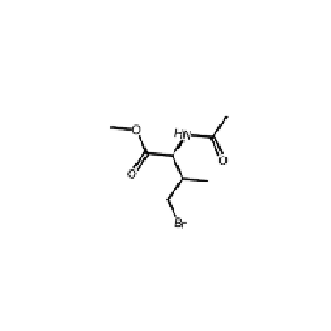 COC(=O)[C@@H](NC(C)=O)C(C)CBr